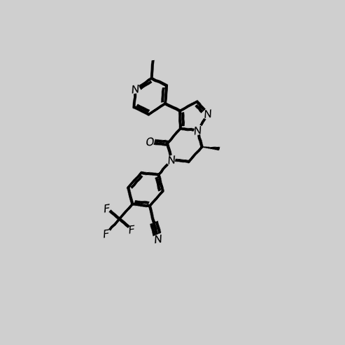 Cc1cc(-c2cnn3c2C(=O)N(c2ccc(C(F)(F)F)c(C#N)c2)C[C@@H]3C)ccn1